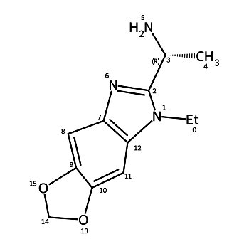 CCn1c([C@@H](C)N)nc2cc3c(cc21)OCO3